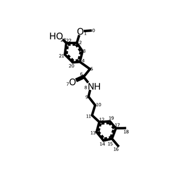 COc1cc(CC(=O)NCCCc2ccc(C)c(C)c2)ccc1O